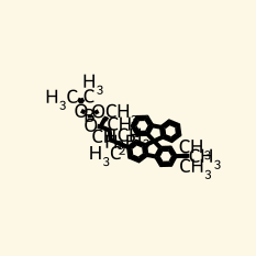 Bc1cccc2c1C1(c3cc(C(C)(C)C)ccc3-c3ccc(C(C)(C)CCC4(C)OB(OC(C)C)OC4(C)C)cc31)c1ccccc1-2